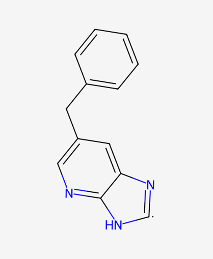 [c]1nc2cc(Cc3ccccc3)cnc2[nH]1